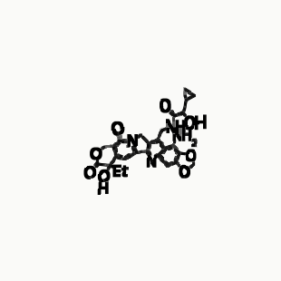 CC[C@@]1(O)C(=O)OCc2c1cc1n(c2=O)Cc2c-1nc1cc3c(c(N)c1c2CNC(=O)C(O)C1CC1)OCO3